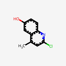 Cc1cc(Cl)nc2ccc(O)cc12